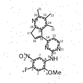 COc1cc(F)c([N+](=O)[O-])cc1Nc1nccc(C2=CCc3nc(C)c(C)c(C)c32)n1